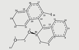 COCO[C@@H]1CC=c2ccccc2=C1c1c(I)ccc2c1=CCCC=2